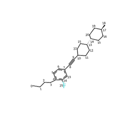 CCCCc1ccc(C#CC2CCC([C@H]3CC[C@H](C)CC3)CC2)cc1F